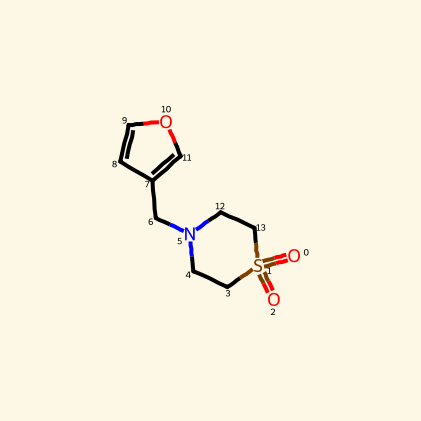 O=S1(=O)CCN(Cc2ccoc2)CC1